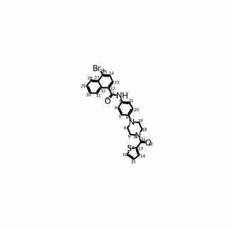 O=C(Nc1ccc(N2CCN(C(=O)c3cccs3)CC2)cc1)c1ccc(Br)c2ccccc12